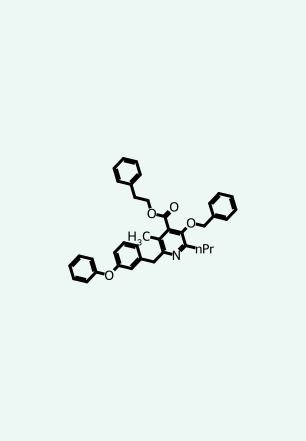 CCCc1nc(Cc2cccc(Oc3ccccc3)c2)c(C)c(C(=O)OCCc2ccccc2)c1OCc1ccccc1